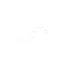 CC(C)N1CCC2(CC1)CCN(C(O)C1CC1)C2